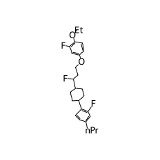 CCCc1ccc(C2CCC(C(F)CCOc3ccc(OCC)c(F)c3)CC2)c(F)c1